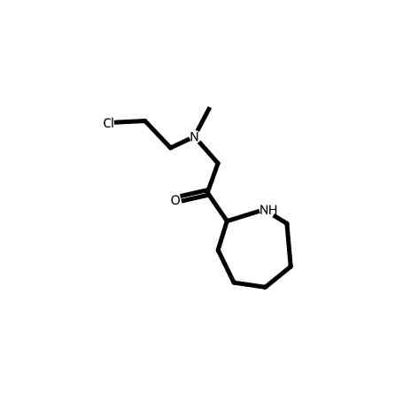 CN(CCCl)CC(=O)C1CCCCCN1